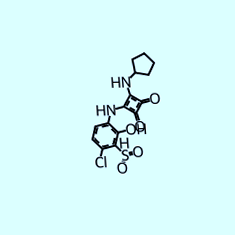 O=c1c(Nc2ccc(Cl)c([SH](=O)=O)c2O)c(NC2CCCC2)c1=O